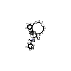 C/C(=N\C(=O)C(=O)C1CCCCOCCOCc2ccccc2C(=O)N1)c1cccnc1